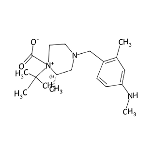 CNc1ccc(CN2CC[N+](C(=O)[O-])(C(C)(C)C)[C@@H](C)C2)c(C)c1